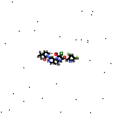 Cc1cnc(-n2cccc(C(C)(C)C)c2=O)cc1-n1c(C)nc(OCc2ncc(F)cc2F)c(Cl)c1=O